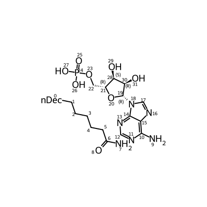 CCCCCCCCCCCCCCCC(N)=O.Nc1ncnc2c1ncn2[C@@H]1O[C@H](COP(=O)(O)O)[C@@H](O)[C@H]1O